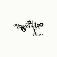 COC(=O)/C=C/CC[C@H](NC(=O)c1oc2ccccc2c1C)C(=O)Nc1cccn(CC(=O)NC23CC4CC(C2)CC(C(=O)OC)(C4)C3)c1=O